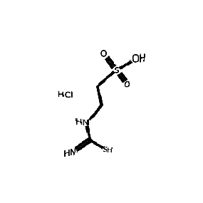 Cl.N=C(S)NCCS(=O)(=O)O